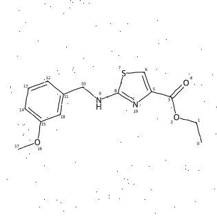 CCOC(=O)c1csc(NCc2cccc(OC)c2)n1